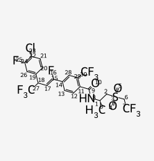 C[C@H](CS(=O)(=O)CC(F)(F)F)NC(=O)c1ccc(/C(F)=C/C(c2ccc(Cl)c(F)c2)C(F)(F)F)cc1C(F)(F)F